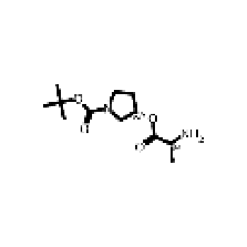 C[C@H](N)C(=O)O[C@H]1CCN(C(=O)OC(C)(C)C)C1